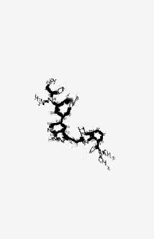 CC(C)CC(=O)N(N)c1cncc(-c2cnc3[nH]nc(-c4nc5c(C(=O)N(C)C)cccc5[nH]4)c3c2)c1